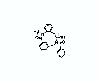 CN1C(=O)c2cccc(c2)CN(C(=O)c2ccccc2)C(=N)Nc2ccccc21